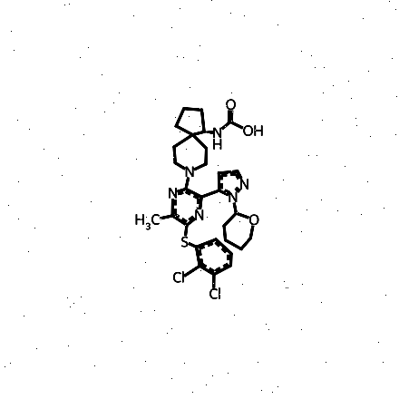 Cc1nc(N2CCC3(CCC[C@H]3NC(=O)O)CC2)c(-c2ccnn2C2CCCCO2)nc1Sc1cccc(Cl)c1Cl